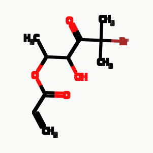 C=CC(=O)OC(C)C(O)C(=O)C(C)(C)Br